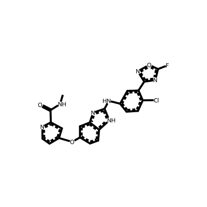 CNC(=O)c1cc(Oc2ccc3[nH]c(Nc4ccc(Cl)c(-c5noc(F)n5)c4)nc3c2)ccn1